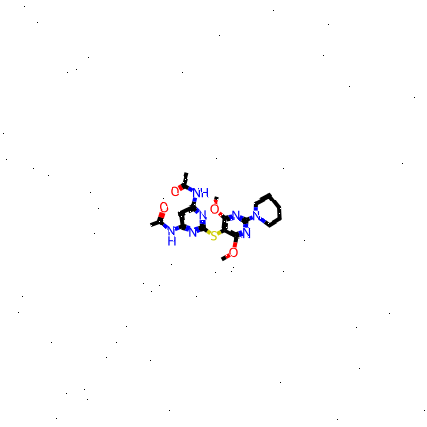 COc1nc(N2CCCCC2)nc(OC)c1Sc1nc(NC(C)=O)cc(NC(C)=O)n1